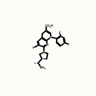 C[C@@H](N)[C@@H]1CCN(c2nc3c(cc2F)CC(C(=O)O)=CN3c2ccc(F)cc2F)C1